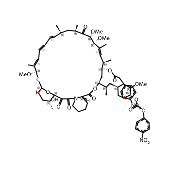 CO[C@H]1C[C@@H]2CC[C@@H](C)[C@@](O)(O2)C(=O)C(=O)N2CCCC[C@H]2C(=O)O[C@H]([C@H](C)C[C@@H]2CC[C@@H](OC(=O)Oc3ccc([N+](=O)[O-])cc3)[C@H](OC)C2)C[C@@H](OC(=O)Cc2ccc([N+](=O)[O-])cc2)[C@H](C)/C=C(\C)[C@@H](OC)[C@@H](OC)C(=O)[C@H](C)C[C@H](C)/C=C/C=C/C=C/1C